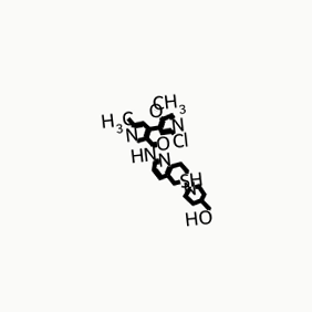 COc1cnc(Cl)cc1-c1cc(C)ncc1C(=O)Nc1ccc2c(n1)CC[SH](N1CCC(CO)CC1)C2